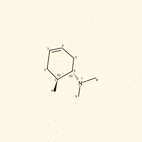 C[C@H]1CC=CC[C@@H]1N(C)C